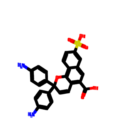 Nc1ccc(C2(c3ccc(N)cc3)C=Cc3c(C(=O)O)cc4cc(S(=O)(=O)O)ccc4c3O2)cc1